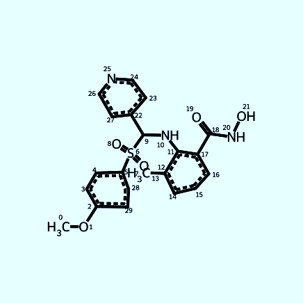 COc1ccc(S(=O)(=O)C(Nc2c(C)cccc2C(=O)NO)c2ccncc2)cc1